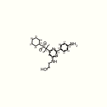 CC(C)(c1cc(NCCO)nc(-c2ccc(N)cc2)n1)S(=O)(=O)C1CCCCC1